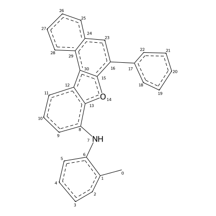 Cc1ccccc1Nc1cccc2c1oc1c(-c3ccccc3)cc3ccccc3c12